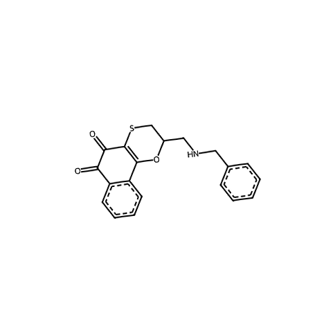 O=C1C(=O)c2ccccc2C2=C1SCC(CNCc1ccccc1)O2